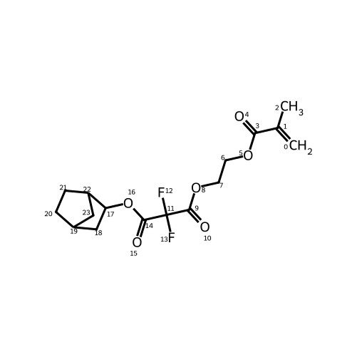 C=C(C)C(=O)OCCOC(=O)C(F)(F)C(=O)OC1CC2CCC1C2